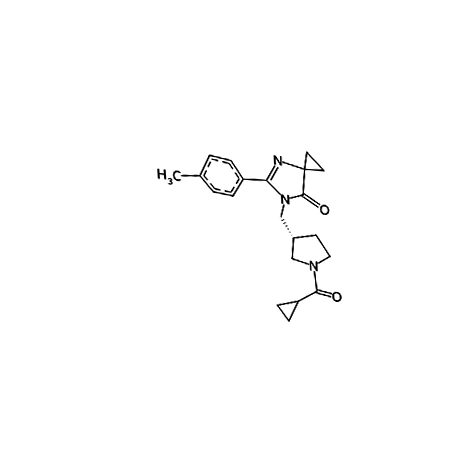 Cc1ccc(C2=NC3(CC3)C(=O)N2C[C@@H]2CCN(C(=O)C3CC3)C2)cc1